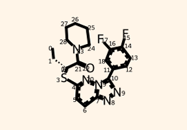 CC[C@@H](Sc1ccc2nnc(-c3ccc(F)c(F)c3)n2n1)C(=O)N1CCCCC1